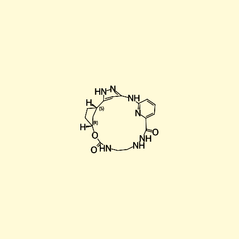 O=C1NCCNNC(=O)c2cccc(n2)Nc2cc([nH]n2)[C@H]2CC[C@H](C2)O1